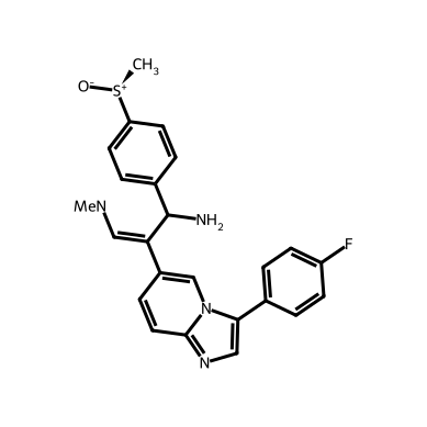 CN/C=C(/c1ccc2ncc(-c3ccc(F)cc3)n2c1)C(N)c1ccc([S@+](C)[O-])cc1